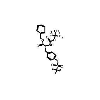 CC(C)(C)OC(=O)N[C@@H](Cc1ccc(OS(=O)(=O)C(F)(F)F)cc1)C(=O)OCc1ccccc1